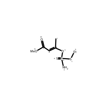 CCSP(N)(=S)OC(C)=CC(=O)OC